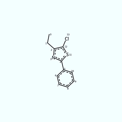 CCc1nc(-c2ccccc2)sc1Cl